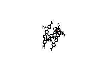 Cc1cc(-c2cc(-n3c4cc(-c5ccc(C#N)cc5C#N)ccc4c4ccc(-c5ccc(C#N)cc5C#N)cc43)c(C#N)cc2-n2c3cc(-c4ccc(C#N)cc4C#N)ccc3c3ccc(-c4ccc(C#N)cc4C#N)cc32)cc(C)n1